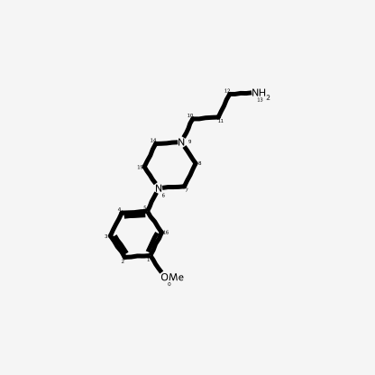 COc1cccc(N2CCN(CCCN)CC2)c1